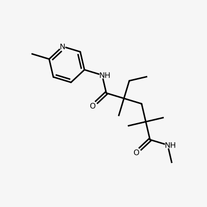 CCC(C)(CC(C)(C)C(=O)NC)C(=O)Nc1ccc(C)nc1